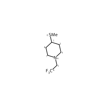 CSC1CCN(CC(F)(F)F)CC1